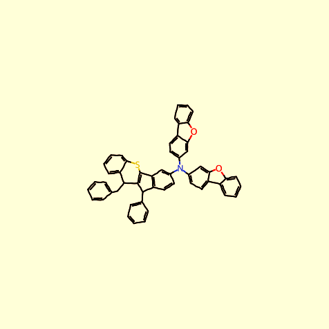 c1ccc(CC2C3=C(Sc4ccccc42)c2cc(N(c4ccc5c(c4)oc4ccccc45)c4ccc5c(c4)oc4ccccc45)ccc2C3c2ccccc2)cc1